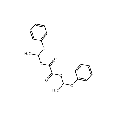 CC(OC(=O)C(=O)OC(C)Oc1ccccc1)Oc1ccccc1